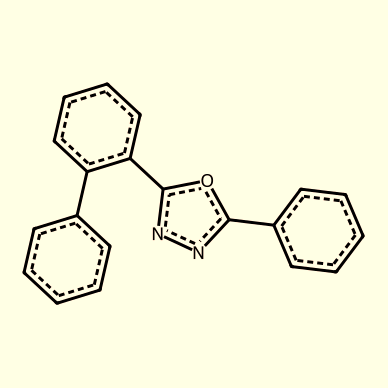 c1ccc(-c2nnc(-c3ccccc3-c3ccccc3)o2)cc1